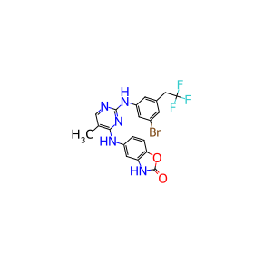 Cc1cnc(Nc2cc(Br)cc(CC(F)(F)F)c2)nc1Nc1ccc2oc(=O)[nH]c2c1